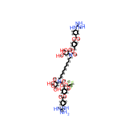 N=C(N)Nc1ccc(C(=O)Oc2ccc(COC(=O)N(CCCCCCCCCCCCN(C(=O)OC(OC(=O)C(F)(F)F)c3ccc(OC(=O)c4ccc(NC(=N)N)cc4)cc3)C(CC(=O)O)C(=O)O)C(CC(=O)O)C(=O)O)cc2)cc1